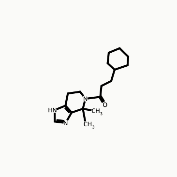 CC1(C)c2nc[nH]c2CCN1C(=O)CCC1CCCCC1